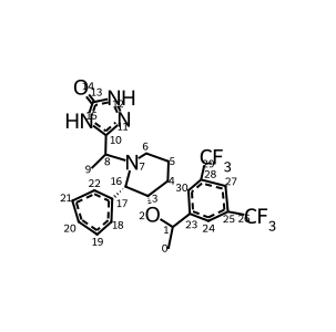 CC(O[C@H]1CCCN(C(C)c2n[nH]c(=O)[nH]2)[C@H]1c1ccccc1)c1cc(C(F)(F)F)cc(C(F)(F)F)c1